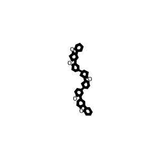 c1ccc2c(c1)oc1cc3oc4ccc(-c5ccc6oc7ccc(-c8ccc9oc%10cc%11oc%12ccccc%12c%11cc%10c9c8)cc7c6c5)cc4c3cc12